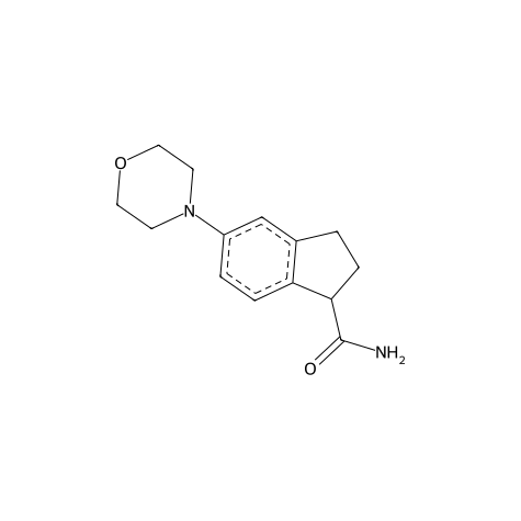 NC(=O)C1CCc2cc(N3CCOCC3)ccc21